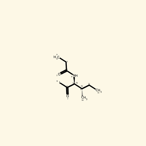 CCC(=O)N[C@H](C(=O)I)[C@@H](C)CC